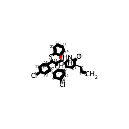 C=CC[C@H]1C[C@H](c2cccc(Cl)c2)[C@H](C(C)C(C)C(Sc2ccccc2)c2ccc(Cl)cc2)NC1=O